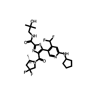 C[C@H]1CC(F)(F)CN1C(=O)c1nc(C(=O)NCC(C)(C)O)sc1-c1cnc(NC2CCCC2)cc1C(F)F